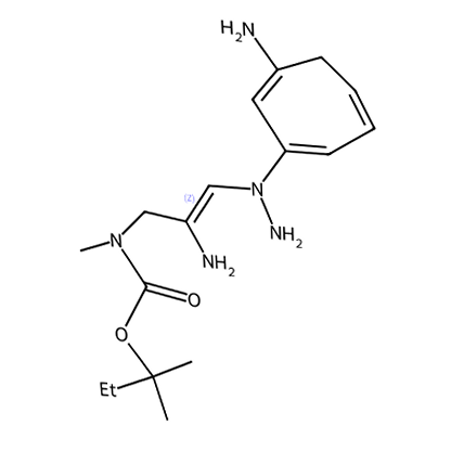 CCC(C)(C)OC(=O)N(C)C/C(N)=C/N(N)C1=CC=CCC(N)=C1